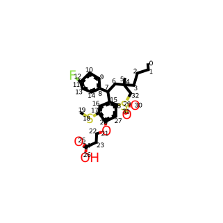 CCCCC1(C)CC(c2ccc(F)cc2)c2cc(SC)c(OCCC(=O)O)cc2S(=O)(=O)C1